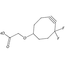 O=C(O)COC1CCC#CC(F)(F)CC1